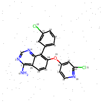 Nc1ncnc2c(-c3cccc(Cl)c3)c(Oc3ccnc(Cl)c3)ccc12